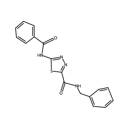 O=C(Nc1nnc(C(=O)NCc2ccccc2)s1)c1ccccc1